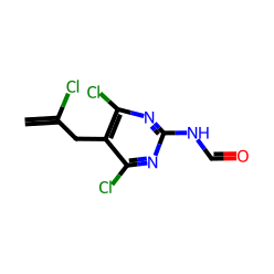 C=C(Cl)Cc1c(Cl)nc(NC=O)nc1Cl